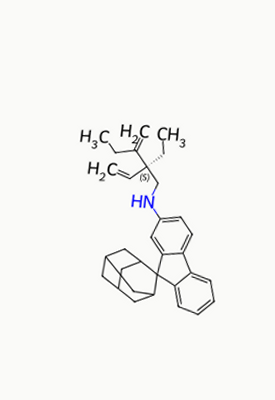 C=C[C@](CC)(CNc1ccc2c(c1)C1(c3ccccc3-2)C2CC3CC(C2)CC1C3)C(=C)CC